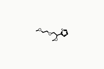 COCCOCC(OC)c1cccs1